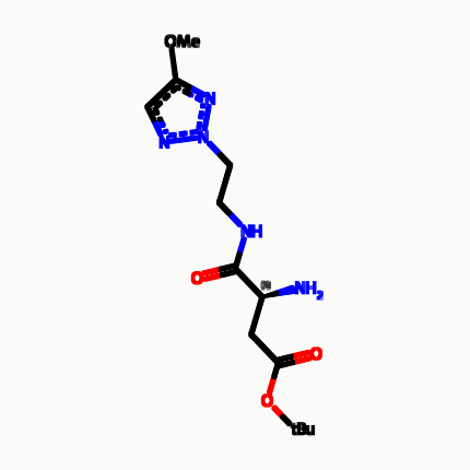 COc1cnn(CCNC(=O)[C@@H](N)CC(=O)OC(C)(C)C)n1